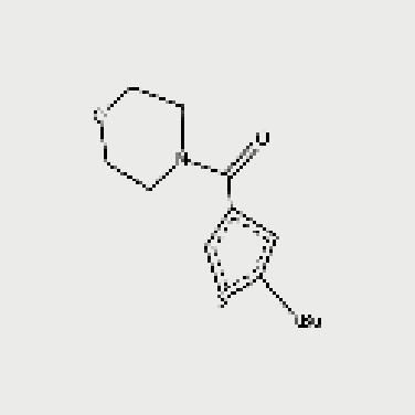 CC(C)(C)c1cc(C(=O)N2CCOCC2)cs1